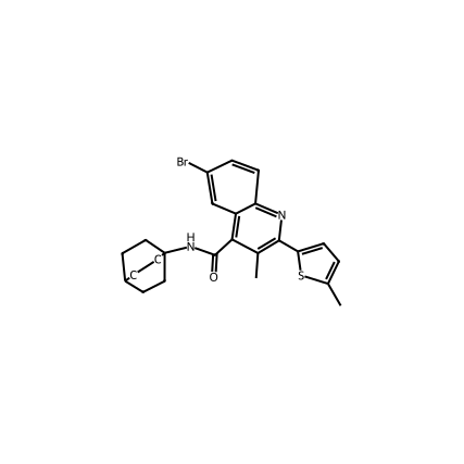 Cc1ccc(-c2nc3ccc(Br)cc3c(C(=O)NC34CCC(CC3)CC4)c2C)s1